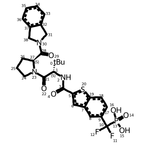 CC(C)(C)[C@H](NC(=O)c1cc2cc(C(F)(F)P(=O)(O)O)ccc2s1)C(=O)N1CCC[C@H]1C(=O)N1Cc2ccccc2C1